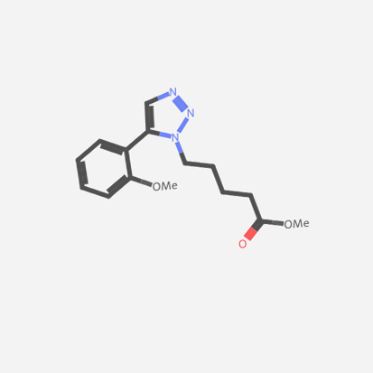 COC(=O)CCCCn1nncc1-c1ccccc1OC